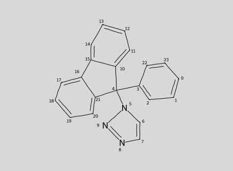 c1ccc(C2(n3ccnn3)c3ccccc3-c3ccccc32)cc1